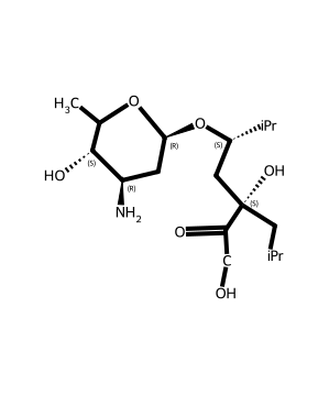 CC(C)C[C@](O)(C[C@H](O[C@H]1C[C@@H](N)[C@H](O)C(C)O1)C(C)C)C(=O)CO